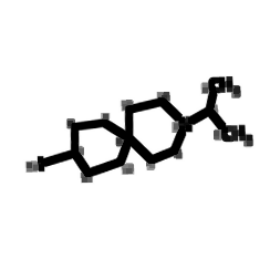 CC(C)N1CCC2(CCC(I)CC2)CC1